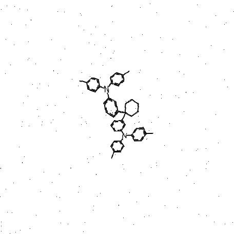 Cc1ccc(N(c2ccc(C)cc2)c2cccc(C3(c4cccc(N(c5ccc(C)cc5)c5ccc(C)cc5)c4)CCCCC3)c2)cc1